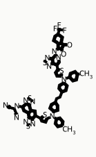 Cc1ccc(N(c2ccc(CCc3ccc(N(c4ccc(C)cc4)c4ccc(-c5cc6c(cc(N=C(C#N)C#N)c7nsnc76)c6nsnc56)s4)cc3)cc2)c2ccc(-c3cnc(/N=c4\c(=O)c(=O)c5cc(C(F)(F)F)ccc45)c4nsnc34)s2)cc1